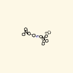 CC1(C)C2=C(C=CCC2)c2ccc(N(c3ccc(/C=C/c4ccc(-c5ccc(N(c6ccccc6)c6ccccc6)cc5)cc4)cc3)c3cc4ccccc4c4ccccc34)cc21